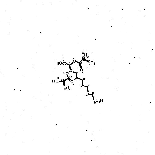 C=C(C)C(=O)OC(CCCCCCCC)C(CCCCCCCC(=O)O)OC(=O)C(=C)C